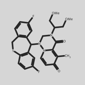 COCC(COC)N1CN(C2c3cc(F)ccc3CSc3ccc(F)cc32)n2ccc(=O)c(C)c2C1=O